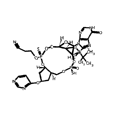 CC(C)(C)[Si](C)(C)O[C@H]1[C@H]2O[P@@](=O)(S)OC[C@H]3C[C@@H](Oc4ccncn4)C[C@@H]3O[P@](=S)(OCCC#N)OC[C@H]1O[C@H]2n1cnc2c(=O)[nH]cnc21